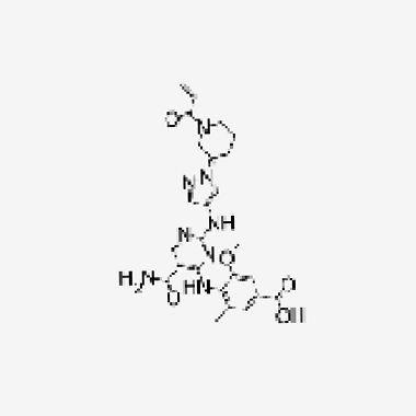 C=CC(=O)N1CCC[C@H](n2cc(Nc3ncc(C(N)=O)c(Nc4c(C)cc(C(=O)O)cc4OC)n3)cn2)C1